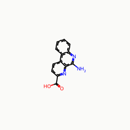 Nc1nc2ccccc2c2ccc(C(=O)O)nc12